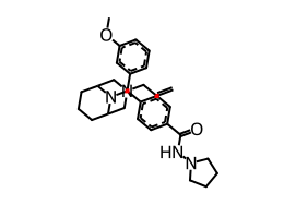 C=CCN1CC2CCCC(C1)N2C(c1ccc(C(=O)NN2CCCC2)cc1)c1cccc(OC)c1